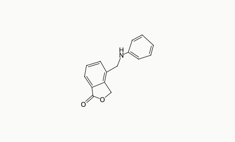 O=C1OCc2c(CNc3ccccc3)cccc21